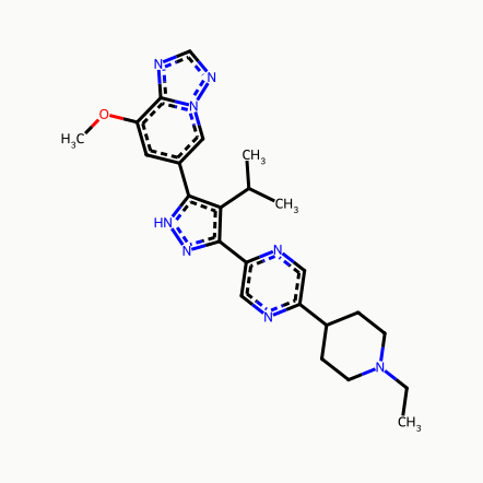 CCN1CCC(c2cnc(-c3n[nH]c(-c4cc(OC)c5ncnn5c4)c3C(C)C)cn2)CC1